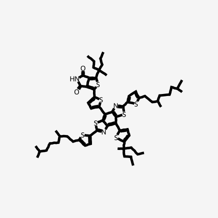 CCCC(C)(CCC)c1ccc(-c2c3nc(-c4ccc(CCC(C)CCCC(C)C)s4)sc3c(-c3ccc(-c4sc(C(C)(CCC)CCC)c5c4C(=O)NC5=O)s3)c3nc(-c4ccc(CCC(C)CCCC(C)C)s4)sc23)s1